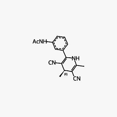 [C-]#[N+]C1=C(c2cccc(NC(C)=O)c2)NC(C)=C(C#N)[C@H]1C